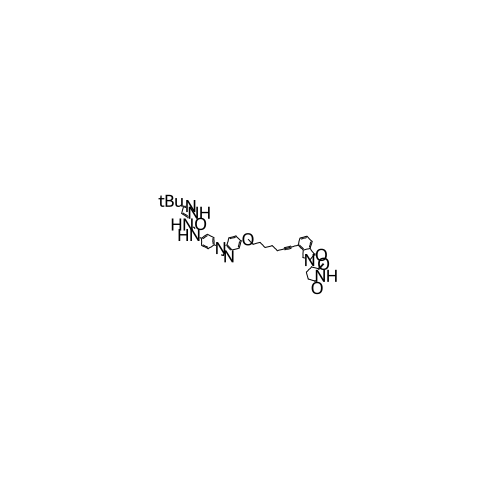 CC(C)(C)c1cc(NC(=O)Nc2ccc(-n3cnc4cc(OCCCCCC#Cc5cccc6c5CN(C5CCC(=O)NC5=O)C6=O)ccc43)cc2)[nH]n1